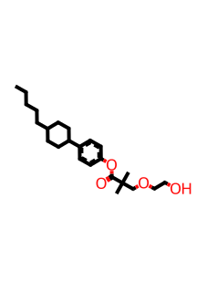 CCCCCC1CCC(c2ccc(OC(=O)C(C)(C)COCCO)cc2)CC1